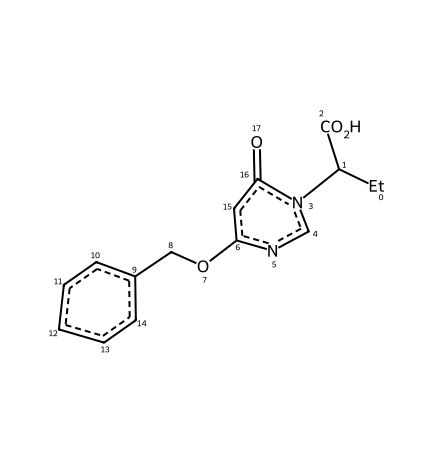 CCC(C(=O)O)n1cnc(OCc2ccccc2)cc1=O